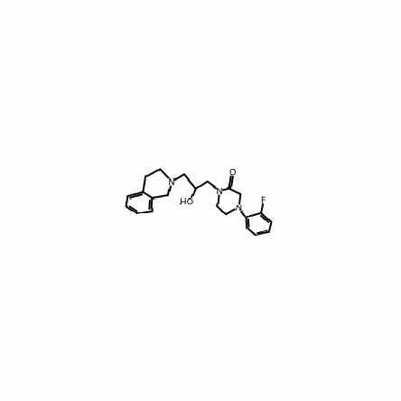 O=C1CN(c2ccccc2F)CCN1CC(O)CN1CCc2ccccc2C1